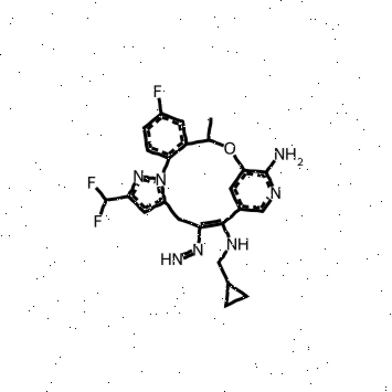 CC1Oc2cc(cnc2N)/C(NCC2CC2)=C(/N=N)Cc2cc(C(F)F)nn2-c2ccc(F)cc21